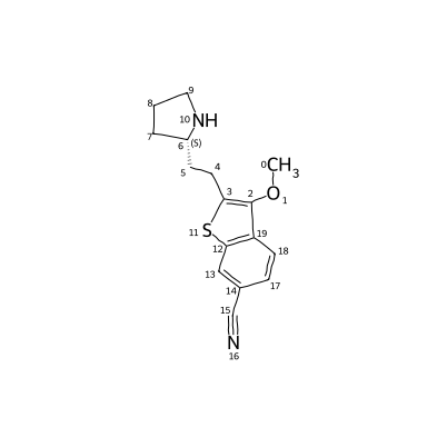 COc1c(CC[C@@H]2CCCN2)sc2cc(C#N)ccc12